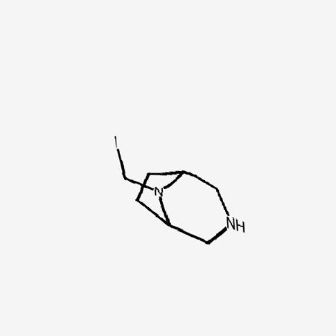 ICN1C2CCC1CNC2